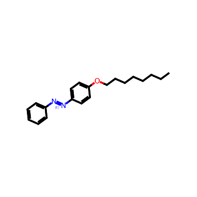 CCCCCCCCOc1ccc(/N=N/c2ccccc2)cc1